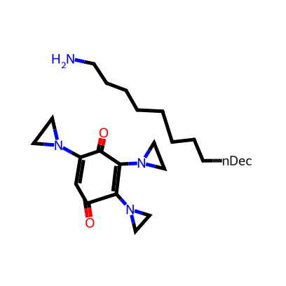 CCCCCCCCCCCCCCCCCCN.O=C1C=C(N2CC2)C(=O)C(N2CC2)=C1N1CC1